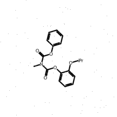 CC(C)Oc1ccccc1OC(=O)N(C)C(=O)Oc1ccccc1